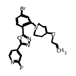 C=CCOC1CCN(c2cc(Br)ccc2-c2nnc(-c3ccnc(F)c3)o2)CC1